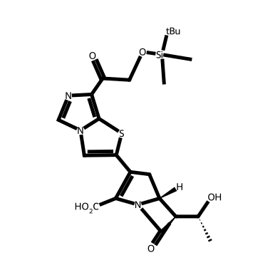 C[C@@H](O)[C@H]1C(=O)N2C(C(=O)O)=C(c3cn4cnc(C(=O)CO[Si](C)(C)C(C)(C)C)c4s3)C[C@H]12